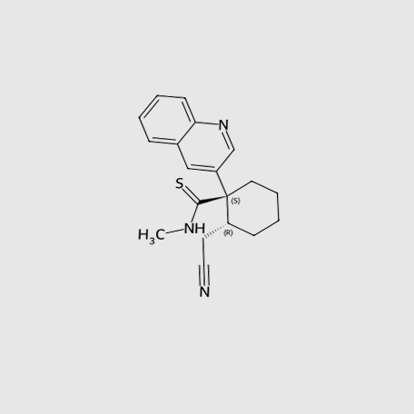 CNC(=S)[C@@]1(c2cnc3ccccc3c2)CCCC[C@@H]1CC#N